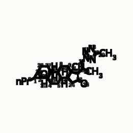 CCCC1C2[C@H]3CC[C@@H]4[C@H](CC[C@]5(C)[C@@H]([C@@H](C)Cn6nnc(C)n6)C(=O)C[C@@H]45)[C@H]3CC[C@]12O